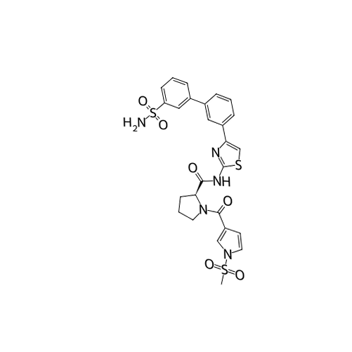 CS(=O)(=O)n1ccc(C(=O)N2CCC[C@H]2C(=O)Nc2nc(-c3cccc(-c4cccc(S(N)(=O)=O)c4)c3)cs2)c1